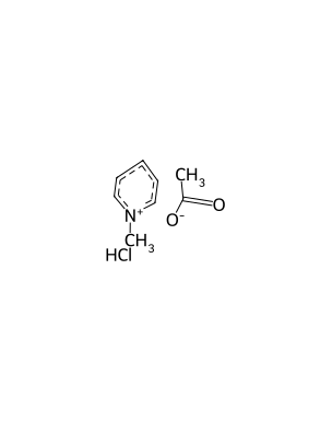 CC(=O)[O-].C[n+]1ccccc1.Cl